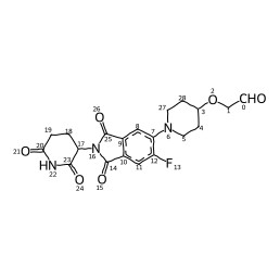 O=CCOC1CCN(c2cc3c(cc2F)C(=O)N(C2CCC(=O)NC2=O)C3=O)CC1